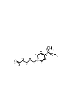 CN(C)c1ccc(CCCCC=O)cc1